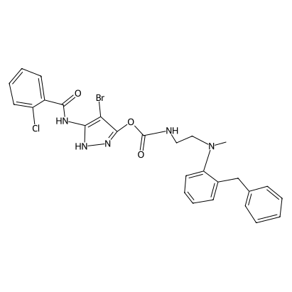 CN(CCNC(=O)Oc1n[nH]c(NC(=O)c2ccccc2Cl)c1Br)c1ccccc1Cc1ccccc1